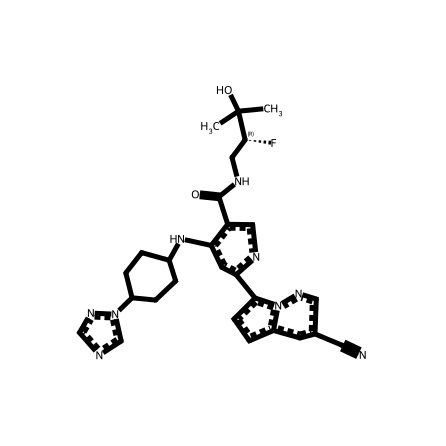 CC(C)(O)[C@H](F)CNC(=O)c1cnc(-c2ccc3cc(C#N)cnn23)cc1NC1CCC(n2cncn2)CC1